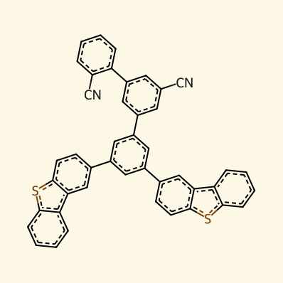 N#Cc1cc(-c2cc(-c3ccc4sc5ccccc5c4c3)cc(-c3ccc4sc5ccccc5c4c3)c2)cc(-c2ccccc2C#N)c1